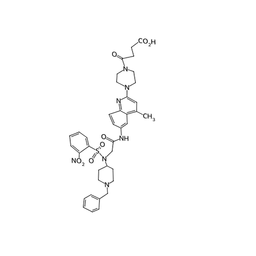 Cc1cc(N2CCN(C(=O)CCC(=O)O)CC2)nc2ccc(NC(=O)CN(C3CCN(Cc4ccccc4)CC3)S(=O)(=O)c3ccccc3[N+](=O)[O-])cc12